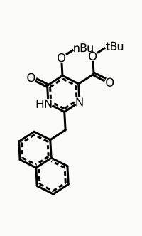 CCCCOc1c(C(=O)OC(C)(C)C)nc(Cc2cccc3ccccc23)[nH]c1=O